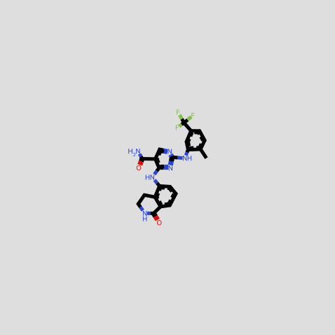 Cc1ccc(C(F)(F)F)cc1Nc1ncc(C(N)=O)c(Nc2cccc3c2CCNC3=O)n1